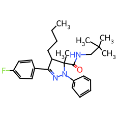 CCCCC1C(c2ccc(F)cc2)=NN(c2ccccc2)C1(C)C(=O)NCC(C)(C)C